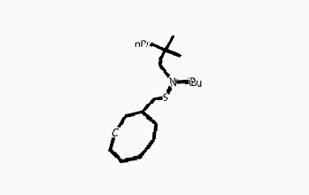 CCCC(C)(C)CN(SCC1CCCCCCC1)C(C)CC